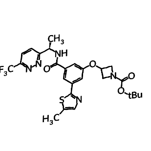 Cc1cnc(-c2cc(OC3CN(C(=O)OC(C)(C)C)C3)cc(C(=O)N[C@H](C)c3ccc(C(F)(F)F)nn3)c2)s1